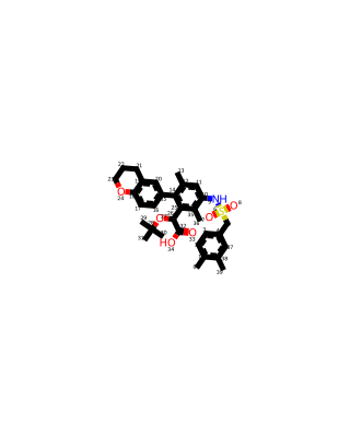 Cc1ccc(CS(=O)(=O)Nc2cc(C)c(-c3ccc4c(c3)CCCO4)c(C(OC(C)(C)C)C(=O)O)c2C)cc1C